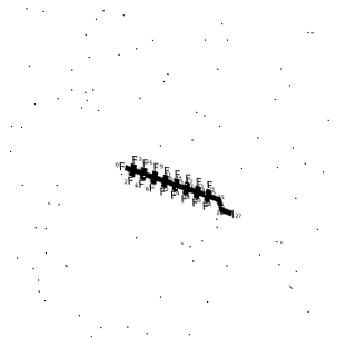 FC(F)(F)C(F)(F)C(F)(F)C(F)(F)C(F)(F)C(F)(F)C(F)(F)C(F)(F)CCI